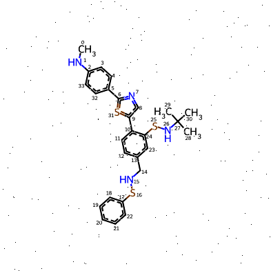 CNc1ccc(-c2ncc(-c3ccc(CNSc4ccccc4)cc3SNC(C)(C)C)s2)cc1